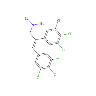 CCN(CC)CC(=Cc1cc(Cl)c(Cl)c(Cl)c1)c1cc(Cl)c(Cl)c(Cl)c1